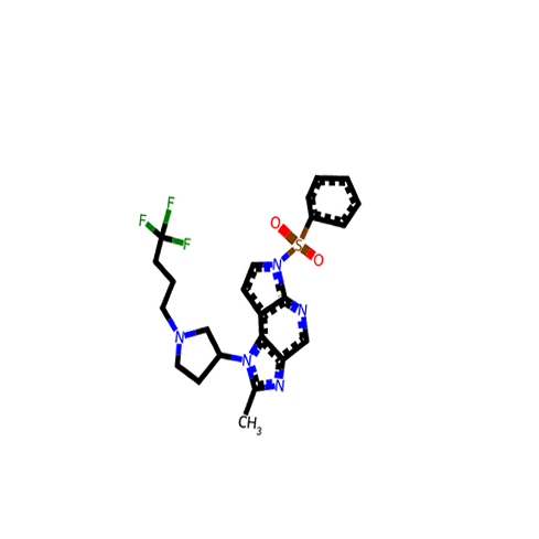 Cc1nc2cnc3c(ccn3S(=O)(=O)c3ccccc3)c2n1C1CCN(CCCC(F)(F)F)C1